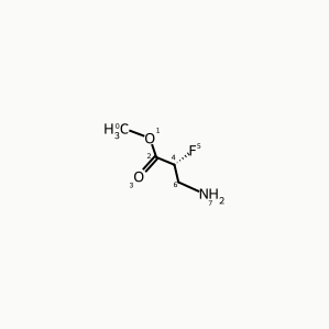 COC(=O)[C@H](F)CN